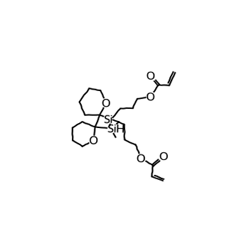 C=CC(=O)OCCC[Si](C)(CCCOC(=O)C=C)C1(C2([SiH](C)C)CCCCO2)CCCCO1